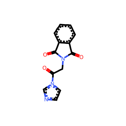 O=C1c2ccccc2C(=O)N1CC(=O)n1ccnc1